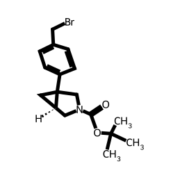 CC(C)(C)OC(=O)N1C[C@H]2CC2(c2ccc(CBr)cc2)C1